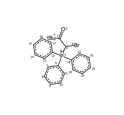 CC(C)(C)C(=O)C(Br)[PH](c1ccccc1)(c1ccccc1)c1ccccc1